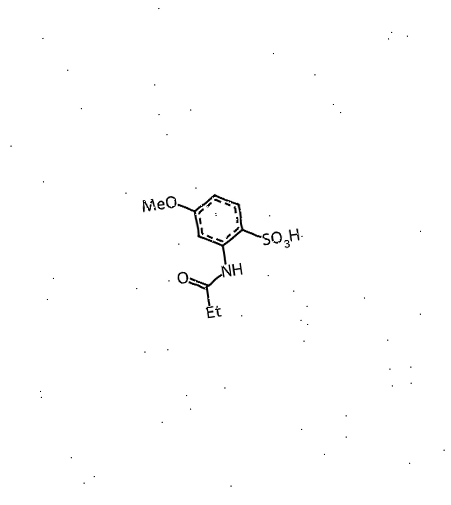 CCC(=O)Nc1cc(OC)ccc1S(=O)(=O)O